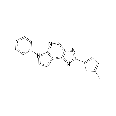 CC1=CC=C(c2nc3cnc4c(ccn4-c4ccccc4)c3n2C)C1